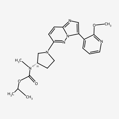 COc1ncccc1-c1cnc2ccc(N3CC[C@H](N(C)C(=O)OC(C)C)C3)nn12